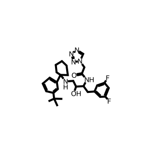 CC(C)(C)c1cccc(C2(NCC(O)C(Cc3cc(F)cc(F)c3)NC(=O)Cn3cnnn3)CCCCC2)c1